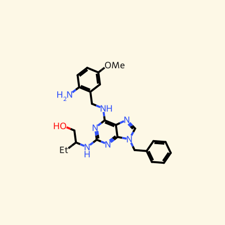 CCC(CO)Nc1nc(NCc2cc(OC)ccc2N)c2ncn(Cc3ccccc3)c2n1